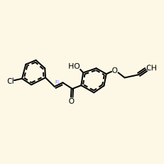 C#CCOc1ccc(C(=O)/C=C/c2cccc(Cl)c2)c(O)c1